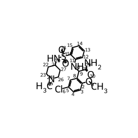 COc1ccc(Cl)cc1C(Nc1ccccc1S(=O)(=O)NC1CCN(C)CC1)C(N)=O